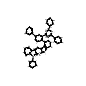 c1ccc(-c2ccc(-c3cccc4oc5cc6c(cc5c34)c3ccccc3n6-c3ccccc3)c(-c3nc(-c4ccccc4)nc(-c4ccccc4)n3)c2)cc1